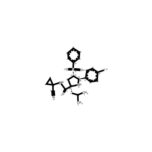 CC(C)C[C@]1(C(=O)NC2(C#N)CC2)C[C@H](S(=O)(=O)c2ccccc2)[C@@H](c2ccc(F)cc2)N1